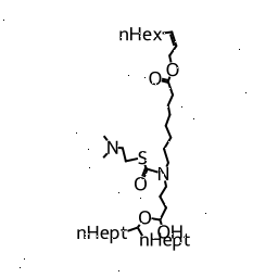 CCCCCC/C=C\COC(=O)CCCCCCCN(CCCC(O)OC(CCCCCCC)CCCCCCC)C(=O)SCCN(C)C